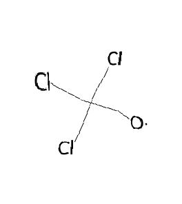 [O]C(Cl)(Cl)Cl